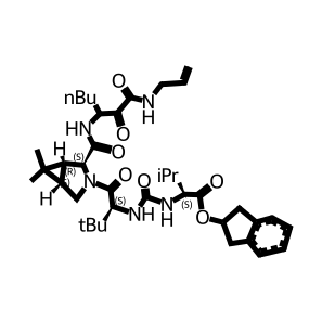 C=CCNC(=O)C(=O)C(CCCC)NC(=O)[C@@H]1[C@@H]2[C@H](CN1C(=O)[C@@H](NC(=O)N[C@H](C(=O)OC1Cc3ccccc3C1)C(C)C)C(C)(C)C)C2(C)C